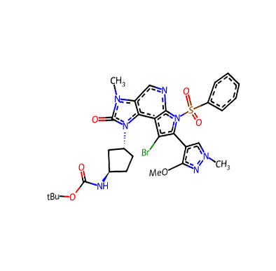 COc1nn(C)cc1-c1c(Br)c2c(ncc3c2n([C@@H]2CC[C@@H](NC(=O)OC(C)(C)C)C2)c(=O)n3C)n1S(=O)(=O)c1ccccc1